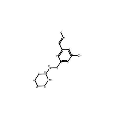 CC=Cc1cc(Cl)cc(COC2CCCCO2)c1